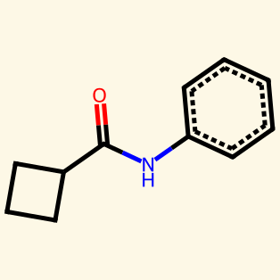 O=C(Nc1ccccc1)C1CCC1